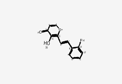 O=c1ccoc(C=Cc2ccccc2F)c1O